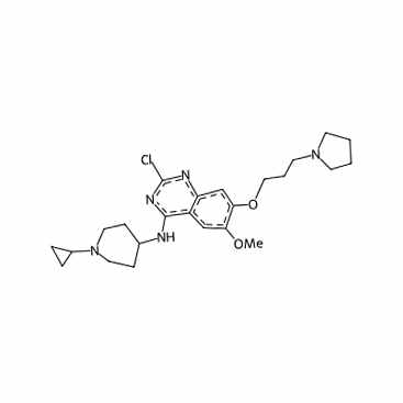 COc1cc2c(NC3CCN(C4CC4)CC3)nc(Cl)nc2cc1OCCCN1CCCC1